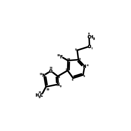 COCc1nccc(-c2nc(C)no2)c1F